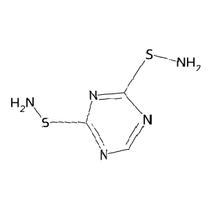 NSc1ncnc(SN)n1